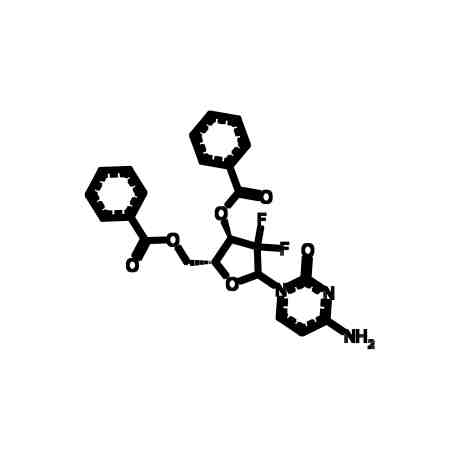 Nc1ccn(C2O[C@H](COC(=O)c3ccccc3)[C@@H](OC(=O)c3ccccc3)C2(F)F)c(=O)n1